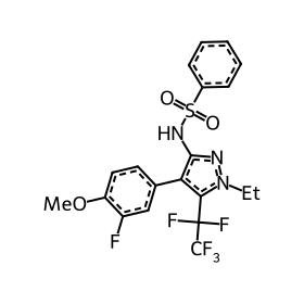 CCn1nc(NS(=O)(=O)c2ccccc2)c(-c2ccc(OC)c(F)c2)c1C(F)(F)C(F)(F)F